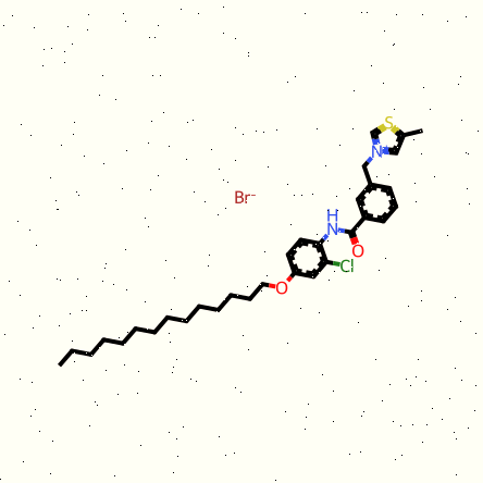 CCCCCCCCCCCCCCOc1ccc(NC(=O)c2cccc(C[n+]3csc(C)c3)c2)c(Cl)c1.[Br-]